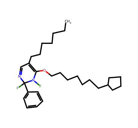 CCCCCCCC1=C(OCCCCCCCC2CCCC2)N(F)C(F)(c2ccccc2)N=C1